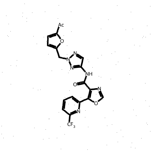 CC(=O)c1ccc(Cn2ncc(NC(=O)c3ncoc3-c3cccc(C(F)(F)F)n3)n2)o1